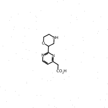 O=C(O)Cc1ccnc(C2CNCCO2)n1